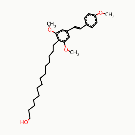 COc1ccc(C=Cc2cc(OC)c(CCCCCCCCCCCCCCO)c(OC)c2)cc1